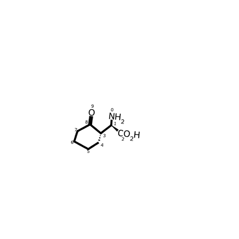 N[C@@H](C(=O)O)[C@@H]1CCCCC1=O